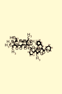 CC[C@H](C)[C@@H]([C@@H](CC(=O)N1CCC[C@H]1[C@H](OC)[C@@H](C)C(=O)N[C@@H](Cc1ccccc1)C(=O)N1CCCCO1)OC)N(C)[C@H](C(=O)NC(=O)[C@H](C(C)C)N(C)CCO)C(C)C